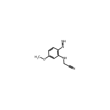 COc1ccc(N=N)c(NCC#N)c1